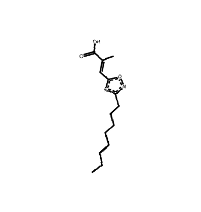 CCCCCCCCc1noc(/C=C(\C)C(=O)O)n1